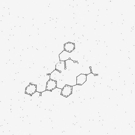 COC(=O)[C@H](CC(=O)Nc1cc(Nc2cnccn2)nc(-c2cccc(C3=CCN(C(=O)O)CC3)c2)c1)Cc1ccccc1